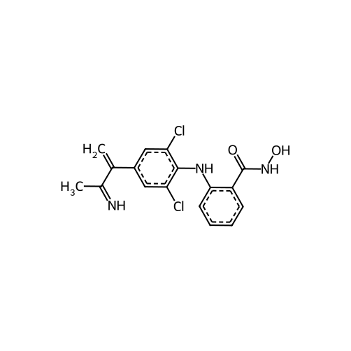 C=C(C(C)=N)c1cc(Cl)c(Nc2ccccc2C(=O)NO)c(Cl)c1